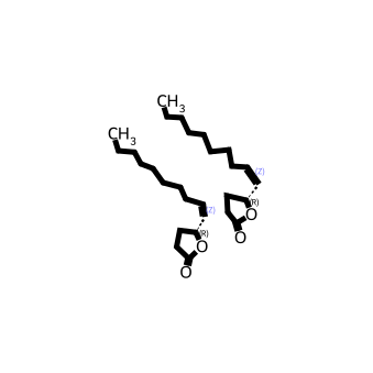 CCCCCCCC/C=C\[C@H]1CCC(=O)O1.CCCCCCCC/C=C\[C@H]1CCC(=O)O1